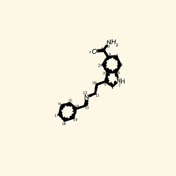 NC(=O)c1ccc2[nH]cc(CCN=Cc3ccccc3)c2c1